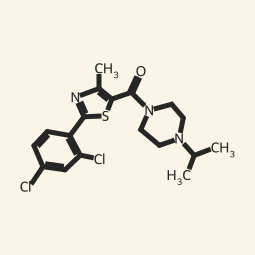 Cc1nc(-c2ccc(Cl)cc2Cl)sc1C(=O)N1CCN(C(C)C)CC1